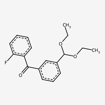 CCOC(OCC)c1cccc(C(=O)c2ccccc2F)c1